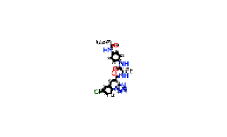 CC[C@H](NC(=O)/C=C/c1cc(Cl)ccc1-n1cnnn1)C(=O)Nc1ccc(NC(=O)OC)cc1